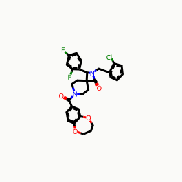 O=C(c1ccc2c(c1)OCCCO2)N1CCC2(CC1)C(=O)N(Cc1ccccc1Cl)C2c1ccc(F)cc1F